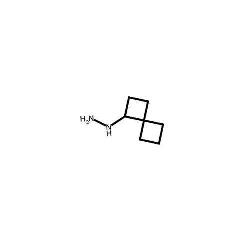 NNC1CCC12CCC2